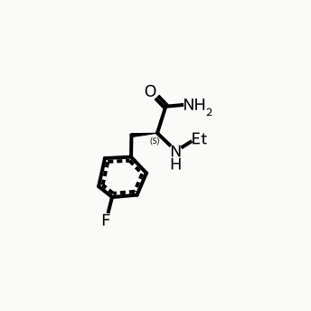 CCN[C@@H](Cc1ccc(F)cc1)C(N)=O